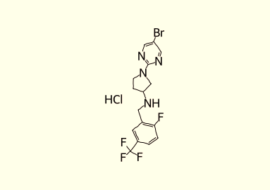 Cl.Fc1ccc(C(F)(F)F)cc1CNC1CCN(c2ncc(Br)cn2)C1